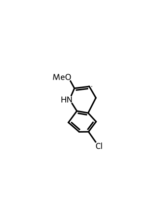 COC1=[C]Cc2cc(Cl)ccc2N1